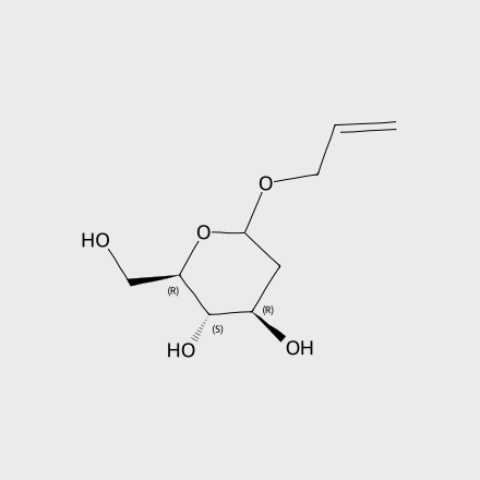 C=CCOC1C[C@@H](O)[C@H](O)[C@@H](CO)O1